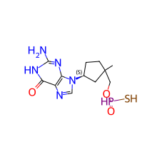 CC1(CO[PH](=O)S)CC[C@H](n2cnc3c(=O)[nH]c(N)nc32)C1